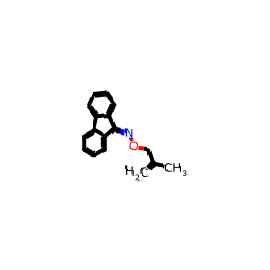 C=C(C)CON=C1c2ccccc2-c2ccccc21